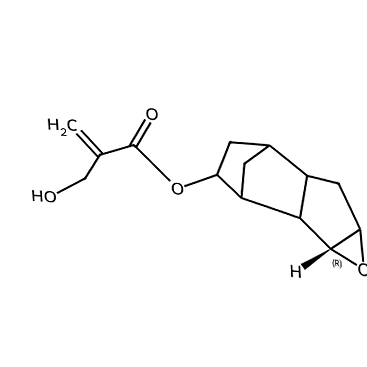 C=C(CO)C(=O)OC1CC2CC1C1C2CC2O[C@@H]21